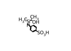 C[C@H](O)[Si@@H](C)Cc1ccc(S(=O)(=O)O)cc1